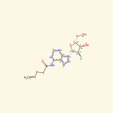 C=CCCC(=O)Nc1ncnc2c1ncn2[C@@H]1O[C@H](CO)[C@@H](O)[C@H]1F